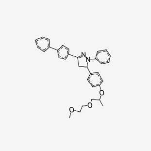 COCCOCC(C)Oc1ccc(C2CC(c3ccc(-c4ccccc4)cc3)=NN2c2ccccc2)cc1